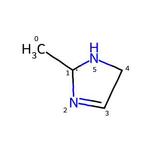 C[C]1N=CCN1